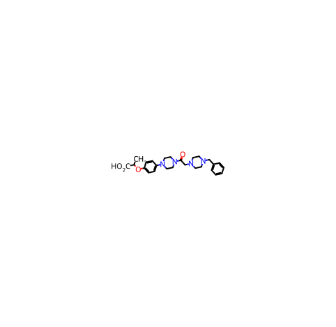 CC(Oc1ccc(N2CCN(C(=O)CN3CCN(Cc4ccccc4)CC3)CC2)cc1)C(=O)O